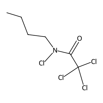 CCCCN(Cl)C(=O)C(Cl)(Cl)Cl